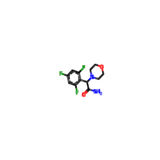 NC(=O)C(c1c(F)cc(F)cc1F)N1CCOCC1